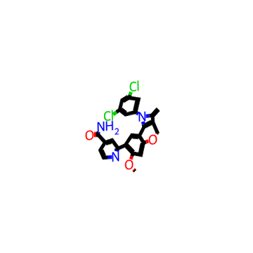 C=C1C2=C(c3cc(-c4cc(C(N)=O)ccn4)c(OC)cc3OC2)N1c1cc(Cl)cc(Cl)c1